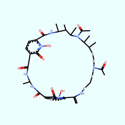 C=C1NCCCN(C(C)=O)CCC(C)C(C)N(C(C)=O)C(C)C(C)C(C)NC(=O)c2ccc(c(=O)n2O)C(=O)NC(C)NC(=O)c2ccc1n(O)c2=O